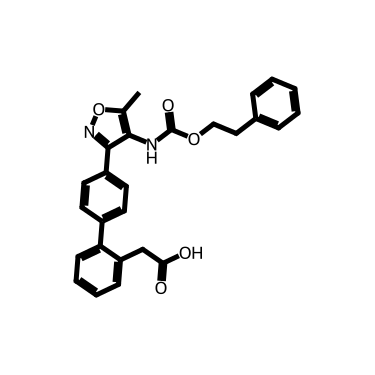 Cc1onc(-c2ccc(-c3ccccc3CC(=O)O)cc2)c1NC(=O)OCCc1ccccc1